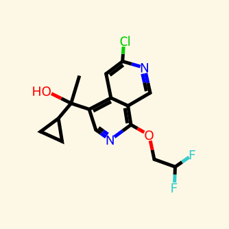 CC(O)(c1cnc(OCC(F)F)c2cnc(Cl)cc12)C1CC1